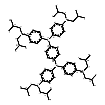 CC(C)CN(CC(C)C)c1ccc(N(c2ccc(N(CC(C)C)CC(C)C)cc2)c2ccc(N(c3ccc(N(CC(C)C)CC(C)C)cc3)c3ccc(N(CC(C)C)CC(C)C)cc3)cc2)cc1